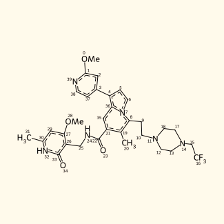 COc1cc(-c2ccn3c(CCN4CCN(CC(F)(F)F)CC4)c(C)c(C(=O)NCc4c(OC)cc(C)[nH]c4=O)cc23)ccn1